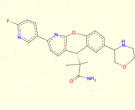 CC(C)(C(N)=O)[C@H]1c2cc(C3COCCN3)ccc2Oc2nc(-c3ccc(F)nc3)ccc21